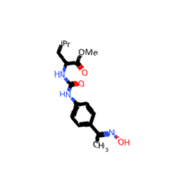 COC(=O)C(CC(C)C)NC(=O)Nc1ccc(C(C)=NO)cc1